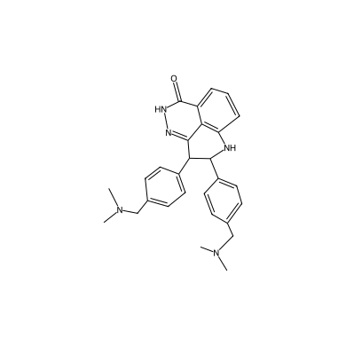 CN(C)Cc1ccc(C2Nc3cccc4c(=O)[nH]nc(c34)C2c2ccc(CN(C)C)cc2)cc1